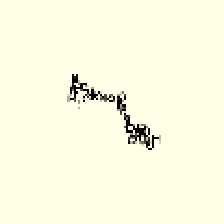 CC1CC2(CCN(c3ccc(C(=O)N4CCN(C5CN(c6ccc7c(c6)C(=O)N(C6CCC(=O)NC6=O)C7=O)C5)CC4)cc3)CC2)CN1c1ccc(C#N)c(C(F)(F)F)c1